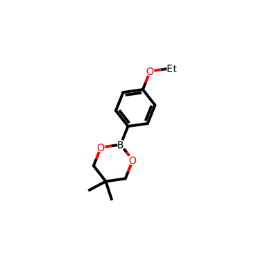 CCOc1ccc(B2OCC(C)(C)CO2)cc1